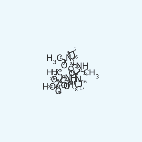 CC(=O)N1CCC[C@H]1C(=O)N[C@@H](C)C(=O)N1CCC[C@H]1C(=O)NC(C)C(O)(O)C(=O)O